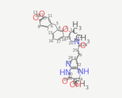 Cc1oc2c(Cc3ccc4c(c3)OCO4)cccc2c1CN(C)C(=O)/C=C/c1cnc2c(c1)NC[C@@](C)(O)C(=O)N2